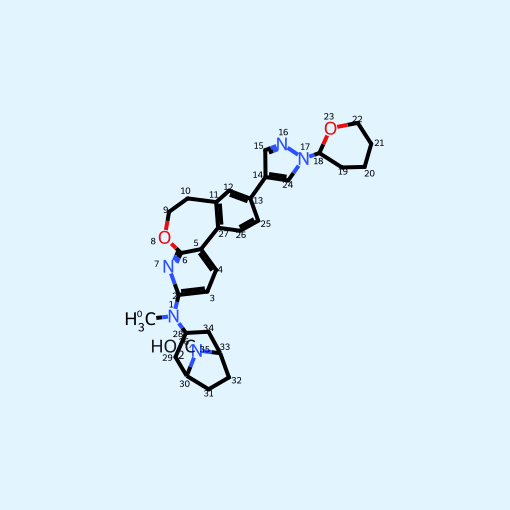 CN(c1ccc2c(n1)OCCc1cc(-c3cnn(C4CCCCO4)c3)ccc1-2)C1CC2CCC(C1)N2C(=O)O